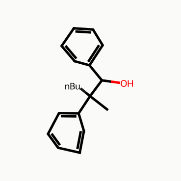 CCCCC(C)(c1ccccc1)C(O)c1ccccc1